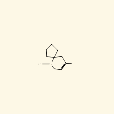 CC(C)C1=CCN(C(C)C)C2(CCCC2)C1